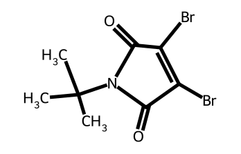 CC(C)(C)N1C(=O)C(Br)=C(Br)C1=O